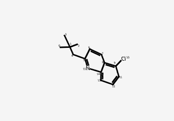 CC(C)(C)Cc1ccc2c(Cl)cccc2n1